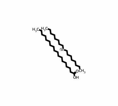 CCCCCCCCCCCCCCCCCC(=O)O.CCCCCCC[CH2][Sn][CH2]CCCCCCC